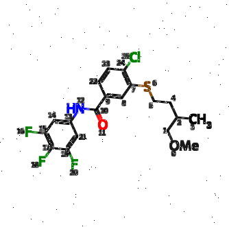 COCC(C)CCSc1cc(C(=O)Nc2cc(F)c(F)c(F)c2)ccc1Cl